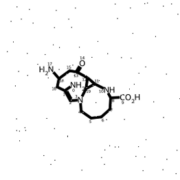 N/C1=C\N2CCCCC(C(=O)O)NC3C(C(=O)CC(N)C1)C32